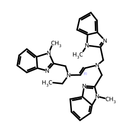 CCN(/C=C/N(Cc1nc2ccccc2n1C)Cc1nc2ccccc2n1C)Cc1nc2ccccc2n1C